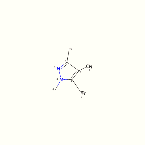 Cc1nn(C)c(C(C)C)c1C#N